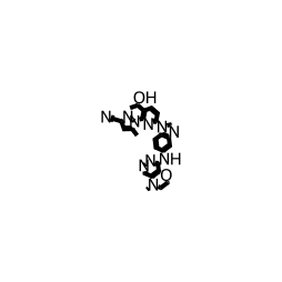 Cc1cc(C#N)nn1-c1nc(-n2cnc3cc(Nc4nncc5c4OCCN5C)ccc32)ccc1C(C)O